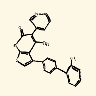 Cc1ccccc1-c1ccc(-c2csc3[nH]c(=O)c(-c4cccnc4)c(O)c23)cc1